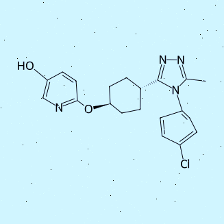 Cc1nnc([C@H]2CC[C@H](Oc3ccc(O)cn3)CC2)n1-c1ccc(Cl)cc1